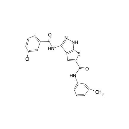 Cc1cccc(NC(=O)c2cc3c(NC(=O)c4cccc(Cl)c4)n[nH]c3s2)c1